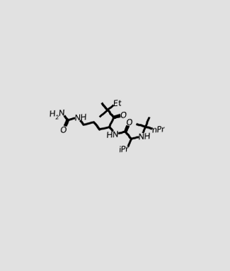 CCCC(C)(C)NC(C(=O)NC(CCCNC(N)=O)C(=O)C(C)(C)CC)C(C)C